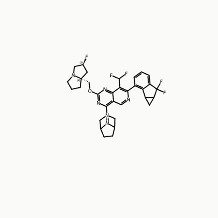 FC(F)c1c(-c2cccc3c2C2CC2C3(F)F)ncc2c(N3CC4CCC(C3)N4)nc(OC[C@]34CCCN3C[C@@H](F)C4)nc12